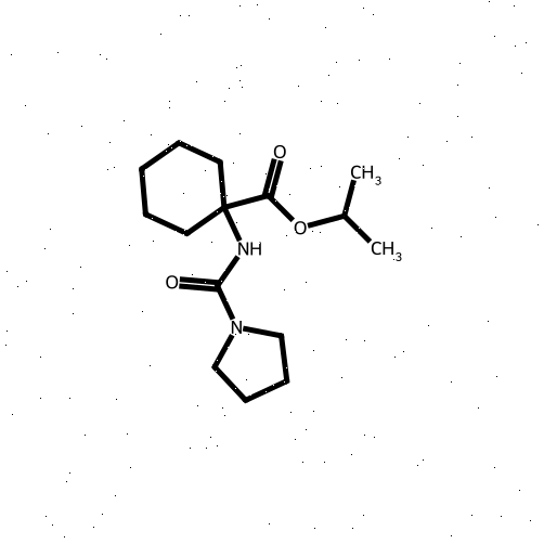 CC(C)OC(=O)C1(NC(=O)N2CCCC2)CCCCC1